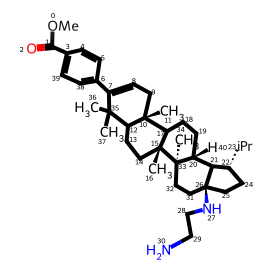 COC(=O)c1ccc(C2=CC[C@@]3(C)C(CC[C@]4(C)C3CC[C@@H]3C5[C@H](C(C)C)CC[C@]5(NCCN)CC[C@]34C)C2(C)C)cc1